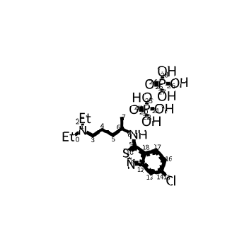 CCN(CC)CCCC(C)Nc1snc2cc(Cl)ccc12.O=P(O)(O)O.O=P(O)(O)O